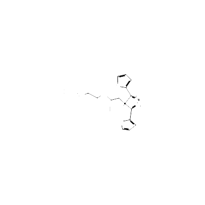 COCCOCCC1(C)C(c2cccs2)=NN=C1c1cccs1